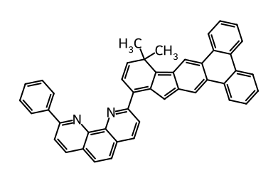 CC1(C)C=CC(c2ccc3ccc4ccc(-c5ccccc5)nc4c3n2)=C2C=c3cc4c5ccccc5c5ccccc5c4cc3=C21